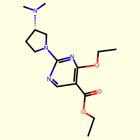 CCOC(=O)c1cnc(N2CC[C@H](N(C)C)C2)nc1OCC